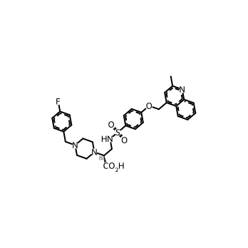 Cc1cc(COc2ccc(S(=O)(=O)NC[C@@H](C(=O)O)N3CCN(Cc4ccc(F)cc4)CC3)cc2)c2ccccc2n1